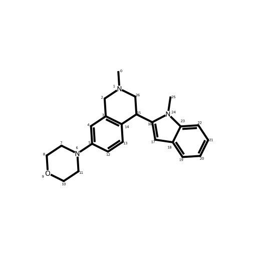 CN1Cc2cc(N3CCOCC3)ccc2C(c2cc3ccccc3n2C)C1